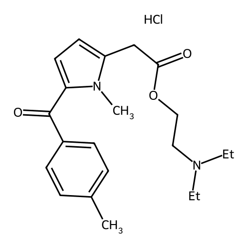 CCN(CC)CCOC(=O)Cc1ccc(C(=O)c2ccc(C)cc2)n1C.Cl